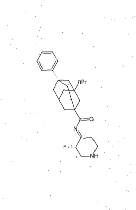 CCCC12CC3CC(C(=O)/N=C4\CCNC[C@@H]4F)(C1)C[C@@](c1ccccc1)(C3)C2